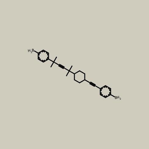 Bc1ccc(C#CC2CCC(C(C)(C)C#CC(C)(C)c3ccc(B)cc3)CC2)cc1